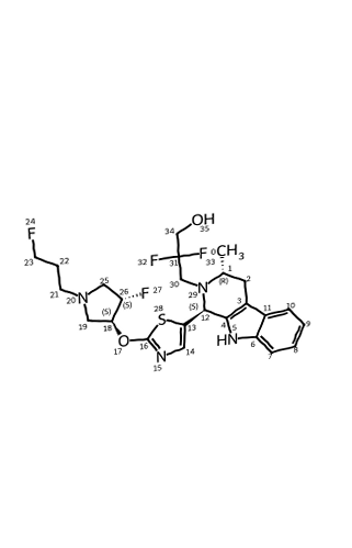 C[C@@H]1Cc2c([nH]c3ccccc23)[C@@H](c2cnc(O[C@H]3CN(CCCF)C[C@@H]3F)s2)N1CC(F)(F)CO